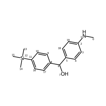 CNc1ccc(C(O)c2ccc([Si](C)(C)C)cc2)cc1